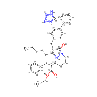 CCCCCc1c(Cc2ccc(-c3ccccc3-c3nnn[nH]3)cc2)c(=O)n2n1C(C(Cc1ccccc1)C(=O)OCC)CCC2